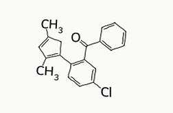 CC1=CC(C)=C(c2ccc(Cl)cc2C(=O)c2ccccc2)C1